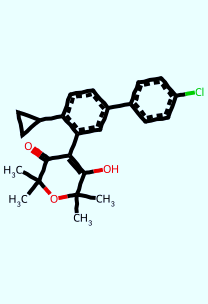 CC1(C)OC(C)(C)C(O)=C(c2cc(-c3ccc(Cl)cc3)ccc2C2CC2)C1=O